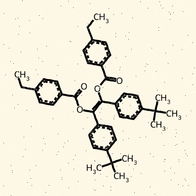 CCc1ccc(C(=O)OC(=C(OC(=O)c2ccc(CC)cc2)c2ccc(C(C)(C)C)cc2)c2ccc(C(C)(C)C)cc2)cc1